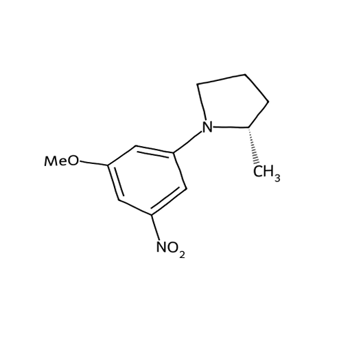 COc1cc(N2CCC[C@@H]2C)cc([N+](=O)[O-])c1